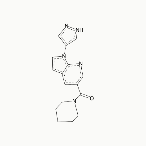 O=C(c1cnc2c(ccn2-c2cn[nH]c2)c1)N1CCCCC1